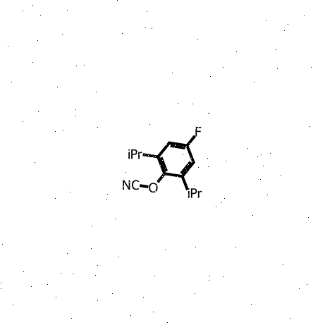 CC(C)c1cc(F)cc(C(C)C)c1OC#N